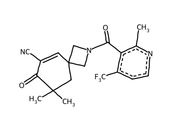 Cc1nccc(C(F)(F)F)c1C(=O)N1CC2(C=C(C#N)C(=O)C(C)(C)C2)C1